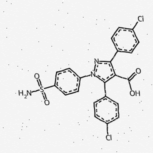 NS(=O)(=O)c1ccc(-n2nc(-c3ccc(Cl)cc3)c(C(=O)O)c2-c2ccc(Cl)cc2)cc1